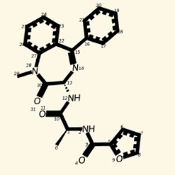 C[C@H](NC(=O)c1ccco1)C(=O)N[C@H]1N=C(c2ccccc2)c2ccccc2N(C)C1=O